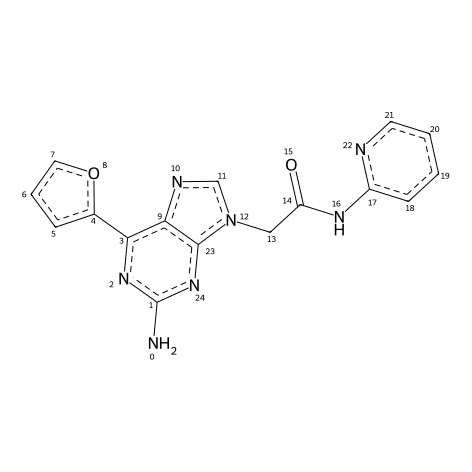 Nc1nc(-c2ccco2)c2ncn(CC(=O)Nc3ccccn3)c2n1